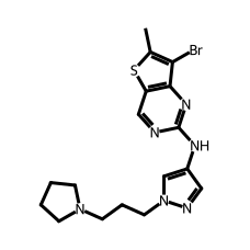 Cc1sc2cnc(Nc3cnn(CCCN4CCCC4)c3)nc2c1Br